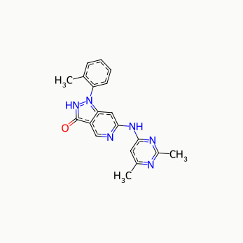 Cc1cc(Nc2cc3c(cn2)c(=O)[nH]n3-c2ccccc2C)nc(C)n1